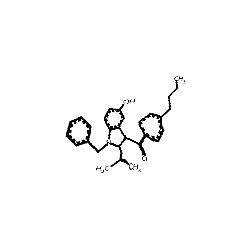 CCCCc1ccc(C(=O)C2c3cc(O)ccc3N(Cc3ccccc3)C2C(C)C)cc1